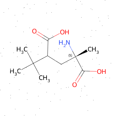 CC(C)(C)C(C[C@](C)(N)C(=O)O)C(=O)O